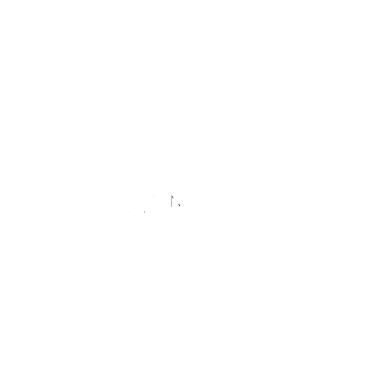 CC1C=CC2=C(C=C1)N(C)C(=O)C(C(C)C)C2